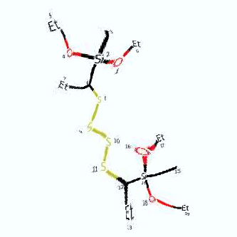 CCO[Si](C)(OCC)C(CC)SSSSC(CC)[Si](C)(OCC)OCC